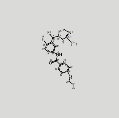 C/N=C(/N)S[C@H](C)[C@H](F)c1cc(NC(=O)c2ccc(OCF)cn2)ccc1F